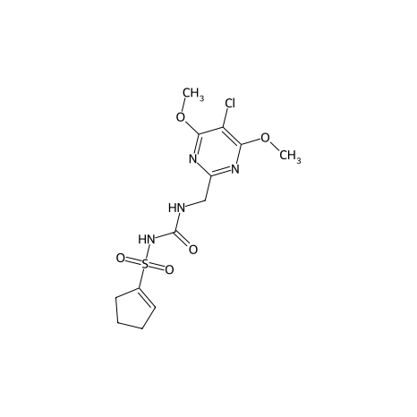 COc1nc(CNC(=O)NS(=O)(=O)C2=CCCC2)nc(OC)c1Cl